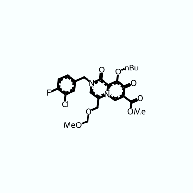 CCCCOc1c(=O)c(C(=O)OC)cn2c(COCOC)cn(Cc3ccc(F)c(Cl)c3)c(=O)c12